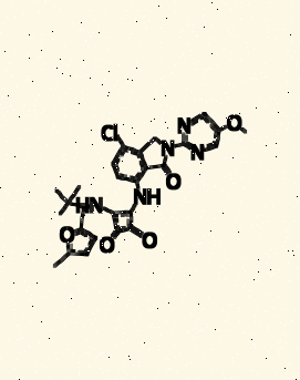 COc1cnc(N2Cc3c(Cl)ccc(Nc4c(N[C@@H](c5ccc(C)o5)C(C)(C)C)c(=O)c4=O)c3C2=O)nc1